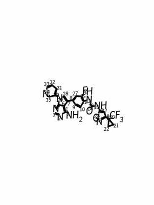 Nc1ncnc2c1c(-c1ccc(NC(=O)Nc3cc(C4(C(F)(F)F)CC4)no3)c(F)c1)cn2-c1cccnc1